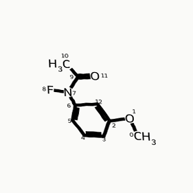 COc1cccc(N(F)C(C)=O)c1